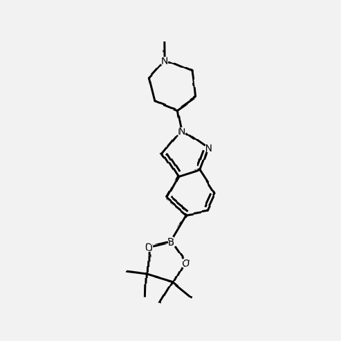 CN1CCC(n2cc3cc(B4OC(C)(C)C(C)(C)O4)ccc3n2)CC1